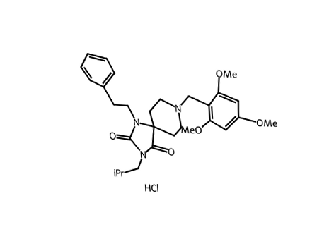 COc1cc(OC)c(CN2CCC3(CC2)C(=O)N(CC(C)C)C(=O)N3CCc2ccccc2)c(OC)c1.Cl